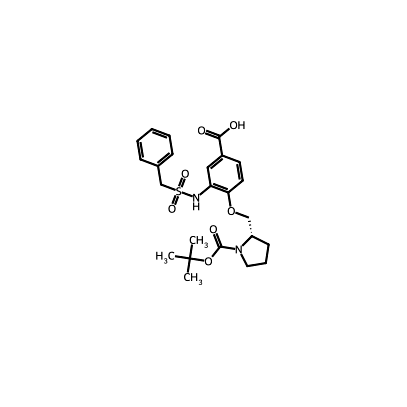 CC(C)(C)OC(=O)N1CCC[C@H]1COc1ccc(C(=O)O)cc1NS(=O)(=O)Cc1ccccc1